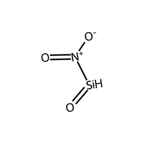 O=[SiH][N+](=O)[O-]